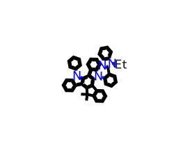 CCn1c(-c2ccccc2-n2c3ccccc3c3c2c2c(c4c5ccccc5n(-c5ccccc5)c43)C(C)(C)c3ccccc3-2)nc2ccccc21